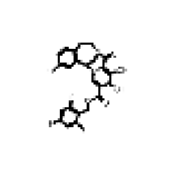 O=C(NCc1c(F)cc(F)cc1F)C1=CN2C(=C(O)C1O)C(=O)N1CCc3ccc(Cl)cc3C2C1